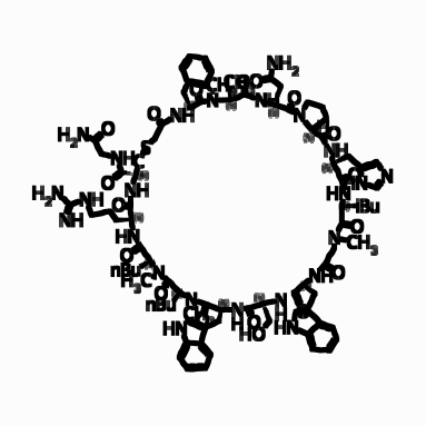 CCCC[C@H]1C(=O)N(C)[C@@H](CCCC)C(=O)N[C@@H](CCCNC(=N)N)C(=O)N[C@H](C(=O)NCC(N)=O)CSCC(=O)N[C@@H](Cc2ccccc2)C(=O)N(C)[C@@H](C)C(=O)N[C@@H](CC(N)=O)C(=O)N2CCC[C@H]2C(=O)N[C@@H](Cc2cnc[nH]2)C(=O)N[C@@H](C(C)CC)C(=O)N(C)CC(=O)N[C@@H](Cc2c[nH]c3ccccc23)C(=O)N[C@@H](CO)C(=O)N[C@@H](Cc2c[nH]c3ccccc23)C(=O)N1C